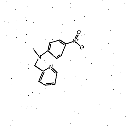 CN(Cc1ccccn1)c1ccc([N+](=O)[O-])cc1